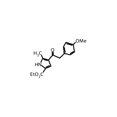 CCOC(=O)c1cc(C(=O)Cc2ccc(OC)cc2)c(C)[nH]1